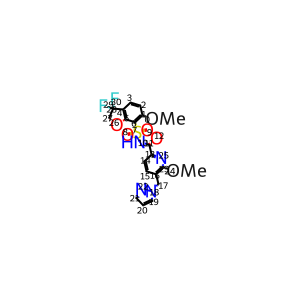 COc1ccc2c(c1S(=O)(=O)NC(=O)c1ccc(Cn3cccn3)c(OC)n1)OCC2(F)F